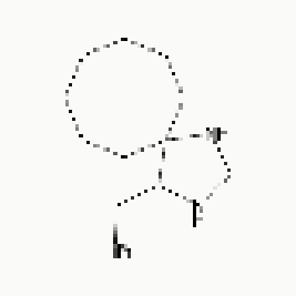 CC(C)CC1NCNC12CCCCCCC2